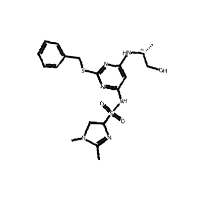 CC1=NC(S(=O)(=O)Nc2cc(N[C@H](C)CO)nc(SCc3ccccc3)n2)CN1C